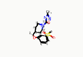 C[C@@H](Oc1c[c]cc(S(C)(=O)=O)c1)C1CCN(c2nc(C(F)(F)F)no2)CC1